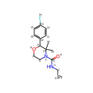 CC(C)CNC(=O)N1CCOC(c2ccc(F)cc2)C1(C)C